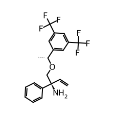 C=C[C@@](N)(CO[C@H](C)c1cc(C(F)(F)F)cc(C(F)(F)F)c1)c1ccccc1